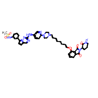 CS(=O)(=O)Nc1cccc(-c2ccc3cnc(Nc4ccc(N5CCN(CCCCCCCCOc6cccc7c6C(=O)N(C6CCCNC6=O)C7=O)CC5)nc4)nn23)c1